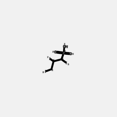 O=S(=O)(O)C(I)C(I)CI